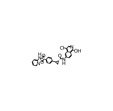 O=C(Nc1ccc2c(O)ncc(Cl)c2c1)[C@@H]1CC1c1ccc(S(=O)(=O)Nc2ccccn2)cc1